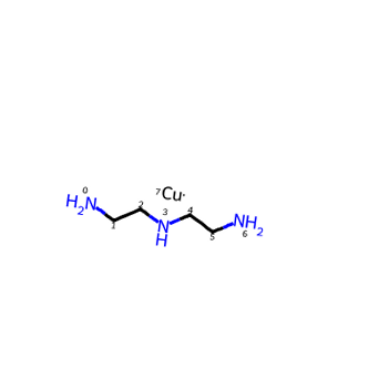 NCCNCCN.[Cu]